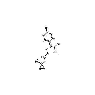 NC(=O)[C@H](CCNCC1(O)CC1)c1ccc(Br)cc1